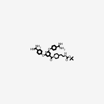 CC(C)(C)OC(=O)NCCC1CCN(C(=O)c2cc(Oc3ccc(C(=N)N)cc3)nc(Oc3ccc(C(=N)N)cc3)c2)CC1